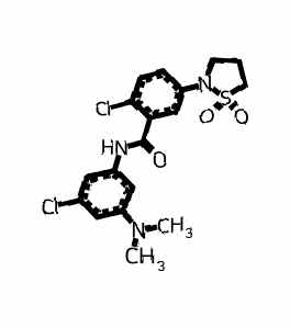 CN(C)c1cc(Cl)cc(NC(=O)c2cc(N3CCCS3(=O)=O)ccc2Cl)c1